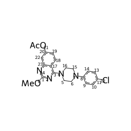 COc1nc(N2CCN(c3ccc(Cl)cc3)CC2)c2ccc(OC(C)=O)cc2n1